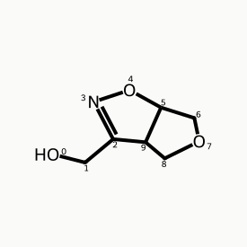 OCC1=NOC2COCC12